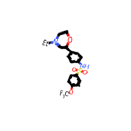 CCN1CCOC(c2ccc(NS(=O)(=O)c3ccc(OC(F)(F)F)cc3)cc2)C1